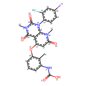 Cc1c(NC(=O)O)cccc1Oc1cc(=O)n(C)c2c1c(=O)n(C)c(=O)n2-c1ccc(I)cc1F